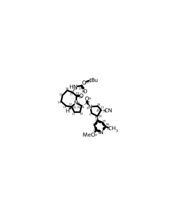 COc1cc([C@H]2CN(C(=O)[C@@H]3CC[C@@H]4CCCC[C@H](NC(=O)OC(C)(C)C)C(=O)N43)C[C@@H]2C#N)cc(C)n1